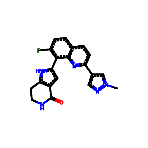 Cn1cc(-c2ccc3ccc(F)c(-c4cc5c([nH]4)CCNC5=O)c3n2)cn1